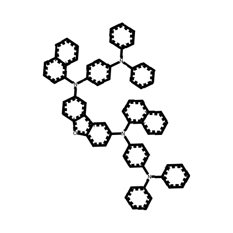 c1ccc(N(c2ccccc2)c2ccc(N(c3ccc4oc5ccc(N(c6ccc(N(c7ccccc7)c7ccccc7)cc6)c6cccc7ccccc67)cc5c4c3)c3cccc4ccccc34)cc2)cc1